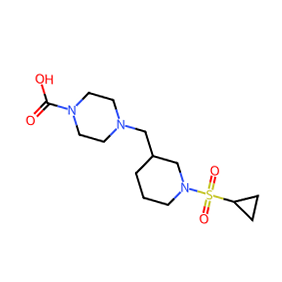 O=C(O)N1CCN(CC2CCCN(S(=O)(=O)C3CC3)C2)CC1